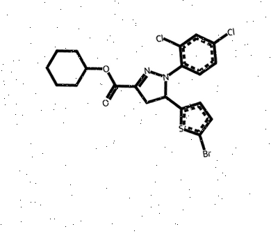 O=C(OC1CCCCC1)C1=NN(c2ccc(Cl)cc2Cl)C(c2ccc(Br)s2)C1